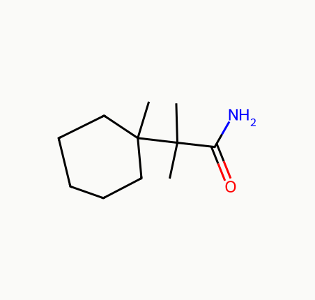 CC1(C(C)(C)C(N)=O)CCCCC1